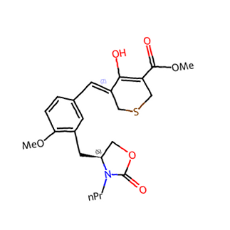 CCCN1C(=O)OC[C@@H]1Cc1cc(/C=C2\CSCC(C(=O)OC)=C2O)ccc1OC